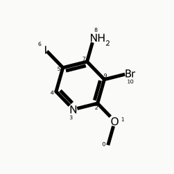 COc1ncc(I)c(N)c1Br